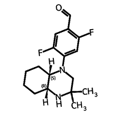 CC1(C)CN(c2cc(F)c(C=O)cc2F)[C@H]2CCCC[C@H]2N1